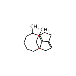 C/C1=C(\C2=C/CCCCCC2)CCCCCC1C